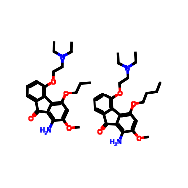 CCCCOc1cc(OC)c(N)c2c1-c1c(OCCN(CC)CC)cccc1C2=O.CCCOc1cc(OC)c(N)c2c1-c1c(OCCN(CC)CC)cccc1C2=O